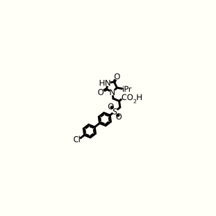 CC(C)C1C(=O)NC(=O)N1CC(CS(=O)(=O)c1ccc(-c2ccc(Cl)cc2)cc1)C(=O)O